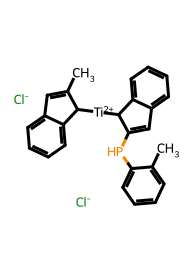 CC1=Cc2ccccc2[CH]1[Ti+2][CH]1C(Pc2ccccc2C)=Cc2ccccc21.[Cl-].[Cl-]